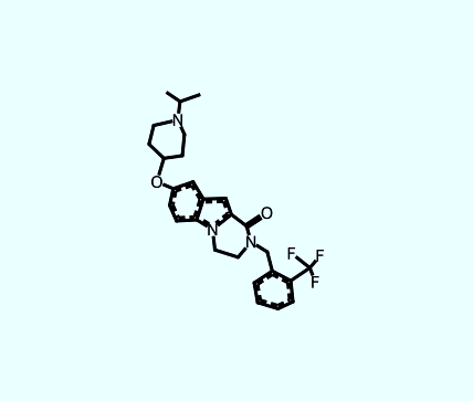 CC(C)N1CCC(Oc2ccc3c(c2)cc2n3CCN(Cc3ccccc3C(F)(F)F)C2=O)CC1